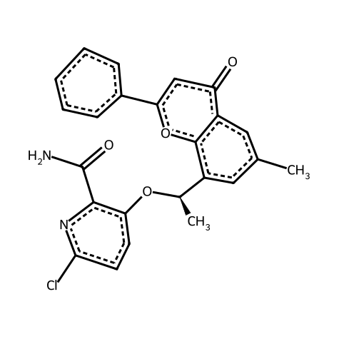 Cc1cc([C@@H](C)Oc2ccc(Cl)nc2C(N)=O)c2oc(-c3ccccc3)cc(=O)c2c1